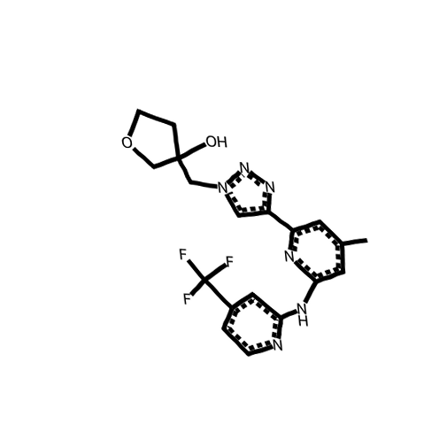 Cc1cc(Nc2cc(C(F)(F)F)ccn2)nc(-c2cn(CC3(O)CCOC3)nn2)c1